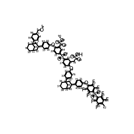 COCc1ccc(C23CCCC(CC(c4ccc(Oc5ccc(S(=O)(=O)c6ccc(Oc7ccc(C89CCCC(CC(c%10ccc(Oc%11c(F)c(F)c(S(=O)(=O)c%12c(F)c(F)c(C)c(F)c%12F)c(F)c%11F)cc%10)C8)C9)cc7)c(CS(=O)(=O)O)c6)cc5S(=O)(=O)OC)cc4)C2)C3)cc1